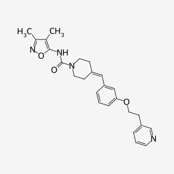 Cc1noc(NC(=O)N2CCC(=Cc3cccc(OCCc4cccnc4)c3)CC2)c1C